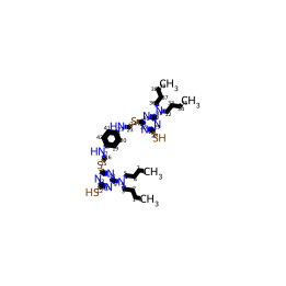 CCCCN(CCCC)c1nc(S)nc(SCNc2ccc(NCSc3nc(S)nc(N(CCCC)CCCC)n3)cc2)n1